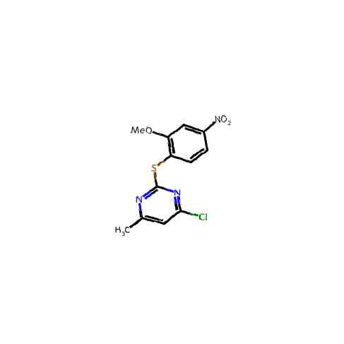 COc1cc([N+](=O)[O-])ccc1Sc1nc(C)cc(Cl)n1